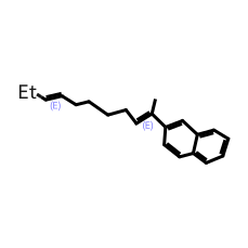 CC/C=C/CCCC/C=C(\C)c1ccc2ccccc2c1